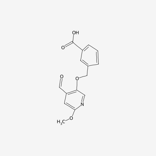 COc1cc(C=O)c(OCc2cccc(C(=O)O)c2)cn1